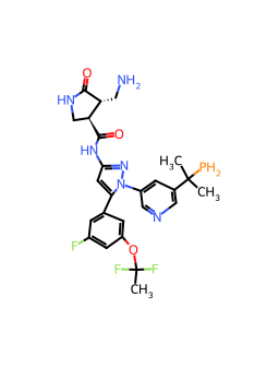 CC(F)(F)Oc1cc(F)cc(-c2cc(NC(=O)[C@H]3CNC(=O)[C@@H]3CN)nn2-c2cncc(C(C)(C)P)c2)c1